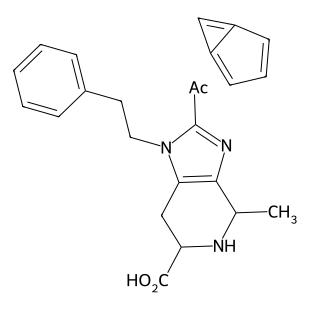 CC(=O)c1nc2c(n1CCc1ccccc1)CC(C(=O)O)NC2C.c1cc2cc-2c1